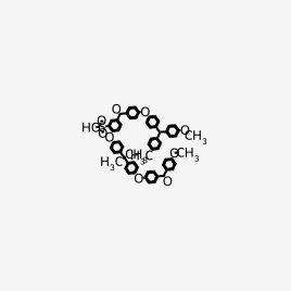 COc1ccc(C(=O)c2ccc(Oc3ccc(C(C)(C)c4ccc(Oc5ccc(C(=O)c6ccc(Oc7ccc(C(c8ccc(C)cc8)c8ccc(OC)cc8)cc7)cc6)cc5S(=O)(=O)O)cc4)cc3)cc2)cc1